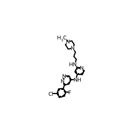 CN1CCN(CCCNc2cc(Nc3cnnc(-c4cc(Cl)ccc4F)c3)ccn2)CC1